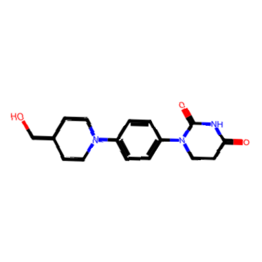 O=C1CCN(c2ccc(N3CCC(CO)CC3)cc2)C(=O)N1